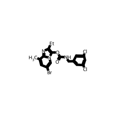 CCc1nc2c(C)cc(Br)cn2c1OC(=O)NCc1cc(Cl)cc(Cl)c1